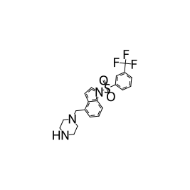 O=S(=O)(c1cccc(C(F)(F)F)c1)n1ccc2c(CN3CCNCC3)cccc21